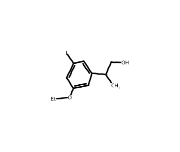 CCOc1cc(I)cc([C](C)CO)c1